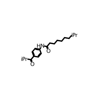 CC(C)CCCCCCC(=O)Nc1ccc(C(=O)C(C)C)cc1